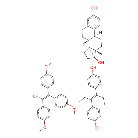 CC/C(=C(/CC)c1ccc(O)cc1)c1ccc(O)cc1.COc1ccc(C(Cl)=C(c2ccc(OC)cc2)c2ccc(OC)cc2)cc1.C[C@]12CC[C@@H]3c4ccc(O)cc4CC[C@H]3[C@@H]1CC[C@@H]2O